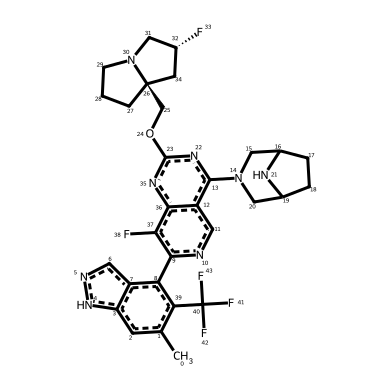 Cc1cc2[nH]ncc2c(-c2ncc3c(N4CC5CCC(C4)N5)nc(OC[C@@]45CCCN4C[C@H](F)C5)nc3c2F)c1C(F)(F)F